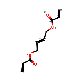 C=CC(=O)OC/C=C/COC(=O)C=C